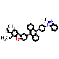 C=Cc1c(/C=C\C)ccc2c1oc1ccc(-c3c4ccccc4c(-c4ccc(-n5c(C)nc6ccccc65)cc4)c4ccccc34)cc12